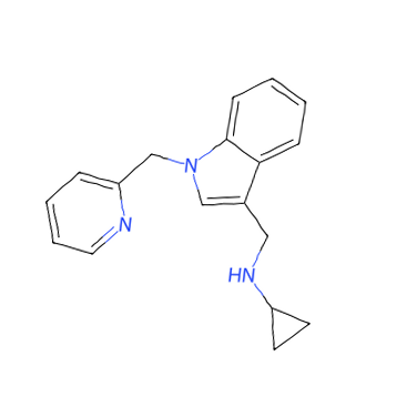 c1ccc(Cn2cc(CNC3CC3)c3ccccc32)nc1